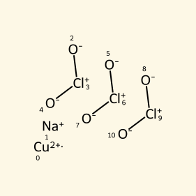 [Cu+2].[Na+].[O-][Cl+][O-].[O-][Cl+][O-].[O-][Cl+][O-]